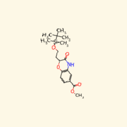 COC(=O)c1ccc2c(c1)NC(=O)C(CCO[Si](C)(C)C(C)(C)C)O2